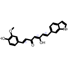 COc1cc(/C=C/C(=O)/C=C(O)/C=C/c2ccc3cc[nH]c3c2)ccc1O